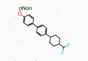 CCCCCCCCCOc1ccc(-c2ccc(C3CCC(C(F)F)CC3)cc2)cc1